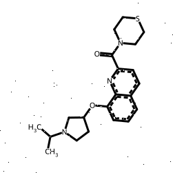 CC(C)N1CCC(Oc2cccc3ccc(C(=O)N4CCSCC4)nc23)C1